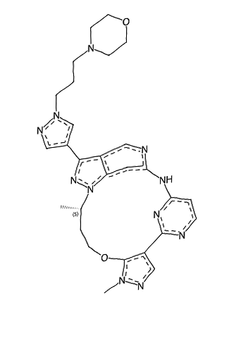 C[C@H]1CCOc2c(cnn2C)-c2nccc(n2)Nc2cc3c(cn2)c(-c2cnn(CCCN4CCOCC4)c2)nn31